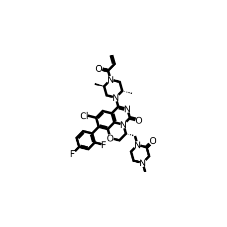 C=CC(=O)N1C[C@H](C)N(c2nc(=O)n3c4c(c(-c5ccc(F)cc5F)c(Cl)cc24)OC[C@H]3CN2CCN(C)CC2=O)C[C@H]1C